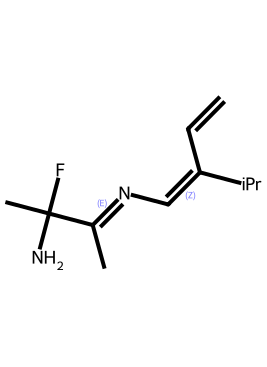 C=C/C(=C\N=C(/C)C(C)(N)F)C(C)C